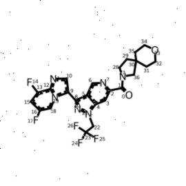 O=C(c1cc2c(cn1)c(-c1cnc3c(F)cc(F)cn13)nn2CC(F)(F)F)N1CCC2(CCOCC2)C1